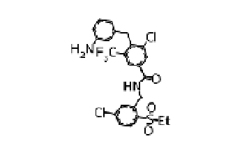 CCS(=O)(=O)c1ccc(Cl)cc1CNC(=O)c1cc(Cl)c(Cc2cccc(N)c2)c(C(F)(F)F)c1